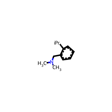 CC(C)c1ccccc1CN(C)C